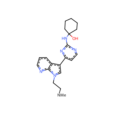 CNCCn1cc(-c2ccnc(NC3(O)CCCCC3)n2)c2cccnc21